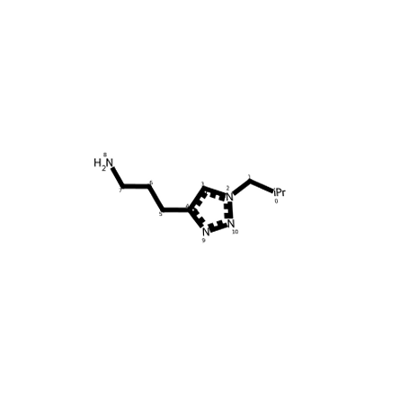 CC(C)Cn1cc(CCCN)nn1